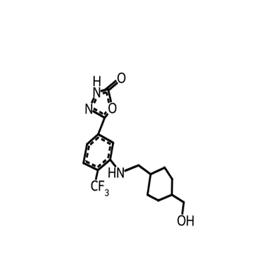 O=c1[nH]nc(-c2ccc(C(F)(F)F)c(NCC3CCC(CO)CC3)c2)o1